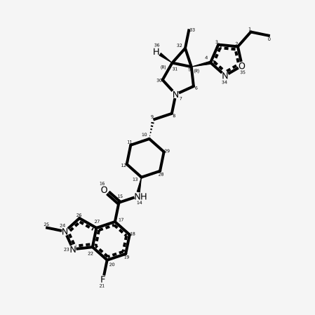 CCc1cc([C@@]23CN(CC[C@H]4CC[C@H](NC(=O)c5ccc(F)c6nn(C)cc56)CC4)C[C@@H]2C3C)no1